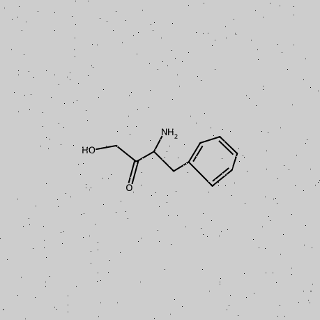 NC(Cc1ccccc1)C(=O)CO